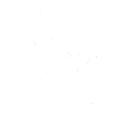 CC(Cc1ccc(OCCO)cc1)N(CCO)CC(O)c1csc(C(F)(F)F)n1